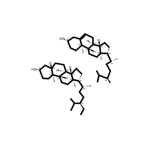 CC(C)[C@H](C)CC[C@@H](C)[C@H]1CC[C@H]2[C@@H]3CC=C4C[C@@H](O)CC[C@]4(C)[C@H]3CC[C@]12C.CC[C@H](CC[C@@H](C)[C@H]1CC[C@H]2[C@@H]3CC[C@H]4C[C@@H](O)CC[C@]4(C)[C@H]3CC[C@]12C)C(C)C